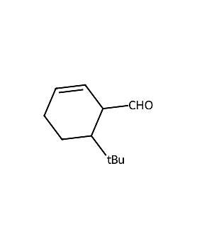 CC(C)(C)C1CCC=CC1C=O